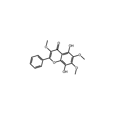 COc1c(OC)c(O)c2c(=O)c(OC)c(-c3ccccc3)oc2c1O